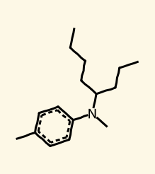 CCCCC(CCC)N(C)c1ccc(C)cc1